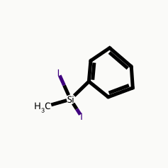 C[Si](I)(I)c1ccccc1